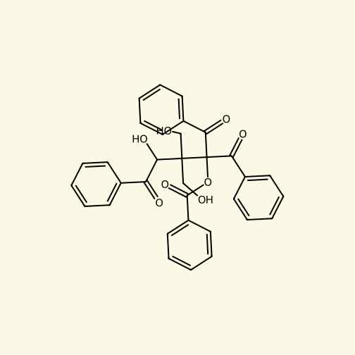 O=C(OC(C(=O)c1ccccc1)(C(=O)c1ccccc1)C(CO)(CO)C(O)C(=O)c1ccccc1)c1ccccc1